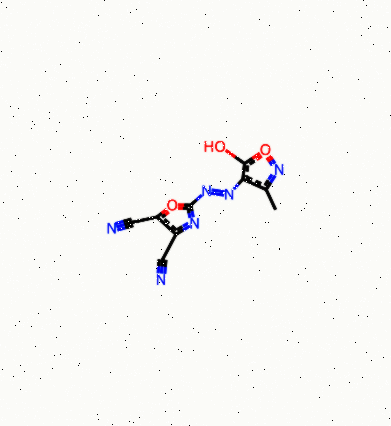 Cc1noc(O)c1N=Nc1nc(C#N)c(C#N)o1